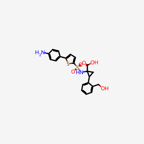 Nc1ccc(-c2ccc(S(=O)(=O)NC3(C(=O)O)CC3c3ccccc3CO)s2)cc1